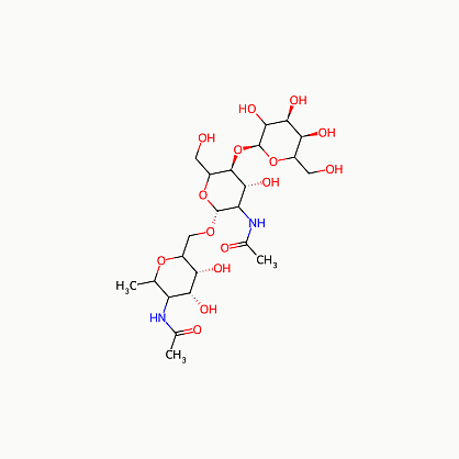 CC(=O)NC1[C@H](OCC2OC(C)C(NC(C)=O)[C@@H](O)[C@H]2O)OC(CO)[C@@H](O[C@@H]2OC(CO)[C@H](O)[C@H](O)C2O)[C@@H]1O